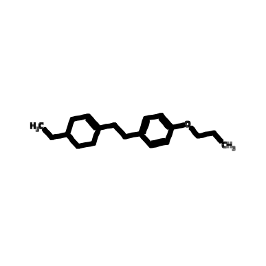 CCCOc1ccc(CCC2=CCC(CC)CC2)cc1